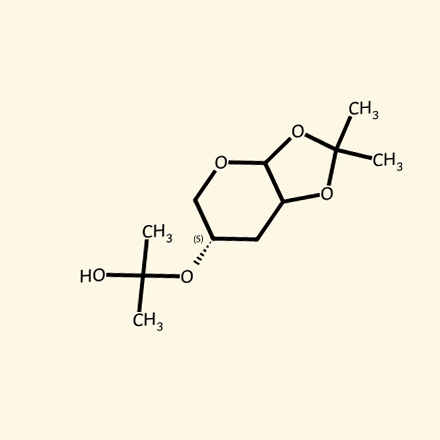 CC(C)(O)O[C@@H]1COC2OC(C)(C)OC2C1